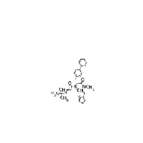 CN(CCc1cccs1)C(=O)[C@@H](Cc1ccc(-c2ccccc2)cc1)N(C)C(=O)C=CCC(C)(C)N